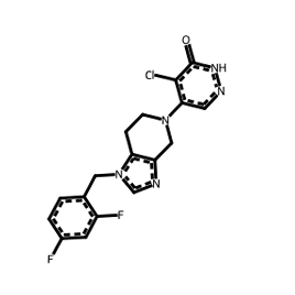 O=c1[nH]ncc(N2CCc3c(ncn3Cc3ccc(F)cc3F)C2)c1Cl